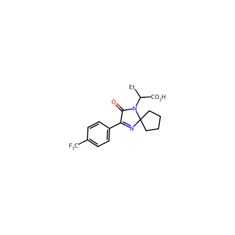 CCC(C(=O)O)N1C(=O)C(c2ccc(C(F)(F)F)cc2)=NC12CCCC2